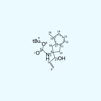 C=CC(O)C1(NC(=O)OC(C)(C)C)Cc2cccc(C)c2C1